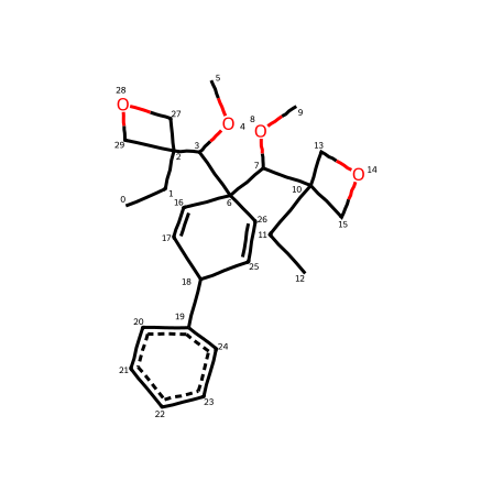 CCC1(C(OC)C2(C(OC)C3(CC)COC3)C=CC(c3ccccc3)C=C2)COC1